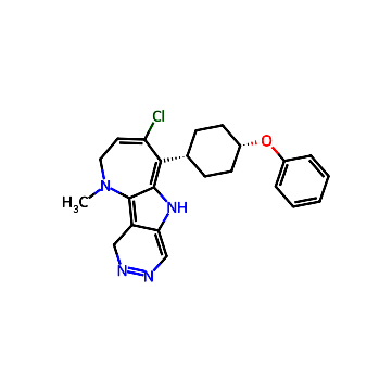 CN1CC=C(Cl)C([C@H]2CC[C@@H](Oc3ccccc3)CC2)=c2[nH]c3c(c21)CN=NC=3